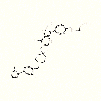 Cn1nc2c(=O)n(CC3(O)CCN(Cc4ccc(-c5ccsc5Cl)cc4Cl)CC3)cnc2c1-c1ccc(CNC(=O)OC(C)(C)C)cc1